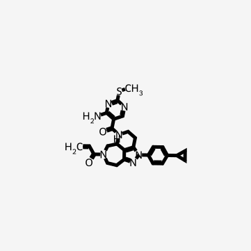 C=CC(=O)N1CCc2nn(-c3ccc(C4CC4)cc3)c3c2[C@H](C1)N(C(=O)c1cnc(SC)nc1N)CC3